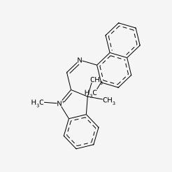 Cc1ccc2ccccc2c1/N=C\C1=[N+](C)c2ccccc2C1(C)C